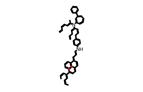 C=C/C=C\C=C(/C)N(C1=CC(c2ccccc2)=CC=C=C1)C(/C=C\Cc1ccc(N/C=C/C=C(\C=C/c2ccc(C(/C=C\C)=C/C=C\C)cc2)c2ccccc2)cc1)=C/CC=C